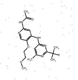 COCCOc1cnc(NC(C)=O)cc1Nc1cc(C)nc(C(C)(C)F)n1